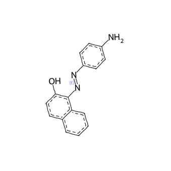 Nc1ccc(/N=N/c2c(O)ccc3ccccc23)cc1